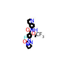 CC(Oc1cc(-n2nc3n(c2=O)CCCC3)c(F)cc1C(=O)Nc1ccc2ncccc2c1)C(F)(F)F